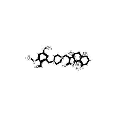 COc1cc(CN2CCN(CC3C(=O)O[C@H]4C5=C(C)CCC[C@]5(C)CCC34O)CC2)c(C=O)c(OC)c1